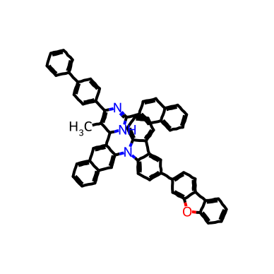 CC1=C(c2ccc(-c3ccccc3)cc2)N=C(c2ccc3ccccc3c2)NC1c1cc2ccccc2cc1-n1c2ccccc2c2cc(-c3ccc4c(c3)oc3ccccc34)ccc21